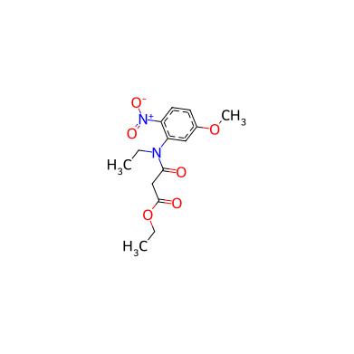 CCOC(=O)CC(=O)N(CC)c1cc(OC)ccc1[N+](=O)[O-]